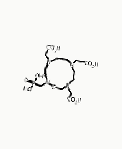 O=C(O)CN1CCN(CC(=O)O)CCN(CP(=O)(O)O)CCN(CC(=O)O)CC1